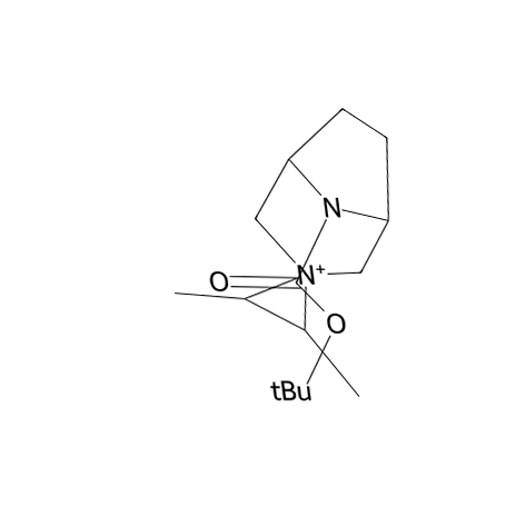 CC1C(C)[N+]12CC1CCC(C2)N1C(=O)OC(C)(C)C